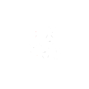 CC(C)(C)OP(O)Oc1ccc(C(C)(C)C)cc1.CC(C)(C)c1cc(CCC(=O)O)c(O)c(C(C)(C)C)c1